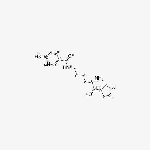 NC(CCCCNC(=O)c1ccc(S)nc1)C(=O)N1CCSC1